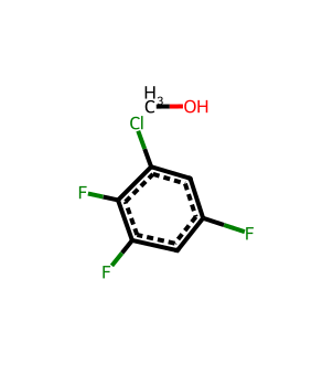 CO.Fc1cc(F)c(F)c(Cl)c1